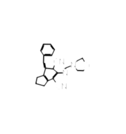 N#CC1=C(N=CN2CCOCC2)C(C#N)C(=Cc2ccccc2)C2=C1CCC2